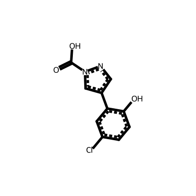 O=C(O)n1cc(-c2cc(Cl)ccc2O)cn1